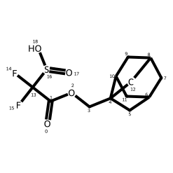 O=C(OCC12CC3CC(CC1C3)C2)C(F)(F)S(=O)O